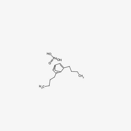 CCCCC1=CC2=CC(CCCC)=C1C2.O=[PH](O)O